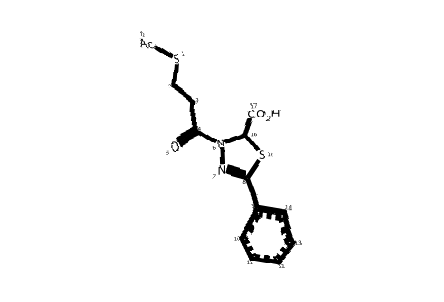 CC(=O)SCCC(=O)N1N=C(c2ccccc2)SC1C(=O)O